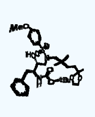 COc1ccc(S(=O)(=O)N(C[C@@H](O)[C@H](Cc2ccccc2)NC(=O)OC(C)(C)C)CC(C)(C)CCC2(C)OCCO2)cc1